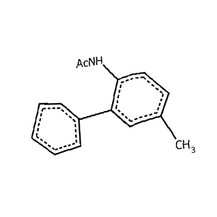 CC(=O)Nc1ccc(C)cc1-c1ccccc1